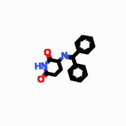 O=C1CCC(N=C(c2ccccc2)c2ccccc2)C(=O)N1